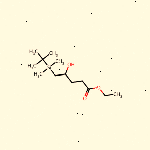 CCOC(=O)CCC(O)C[Si](C)(C)C(C)(C)C